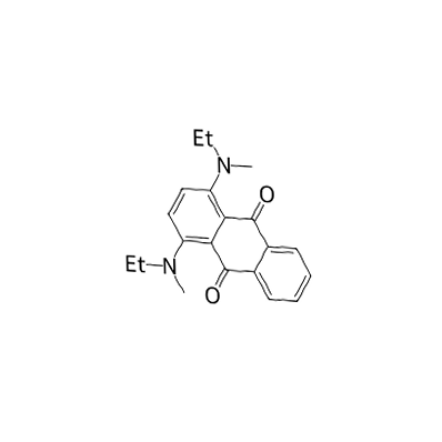 CCN(C)c1ccc(N(C)CC)c2c1C(=O)c1ccccc1C2=O